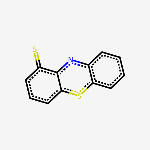 S=c1cccc2sc3ccccc3nc1-2